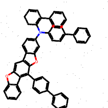 C1=CC(c2ccccc2)=C(N(c2ccc(-c3ccccc3)cc2)c2ccc3c(c2)oc2c(-c4ccc(-c5ccccc5)cc4)c4c(cc23)oc2ccccc24)CC1